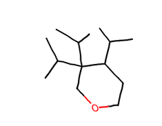 CC(C)C1CCOCC1(C(C)C)C(C)C